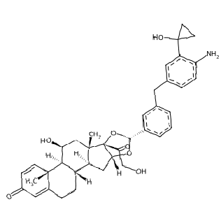 C[C@]12C=CC(=O)C=C1CC[C@@H]1[C@@H]2[C@@H](O)C[C@@]2(C)[C@H]1C[C@H]1O[C@@H](c3cccc(Cc4ccc(N)c(C5(O)CC5)c4)c3)O[C@]12C(=O)CO